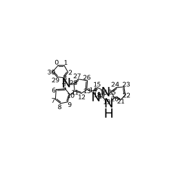 c1ccc(-n2c3ccccc3c3cc(-c4cn5c(n4)[nH]c4ccccc45)ccc32)cc1